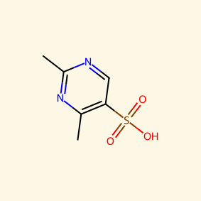 Cc1ncc(S(=O)(=O)O)c(C)n1